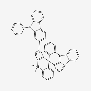 C[Si]1(C)c2ccccc2C2(c3ccccc3-n3c4ccccc4c4cccc2c43)c2cc(-c3ccc4c5ccccc5n(-c5ccccc5)c4c3)ccc21